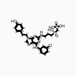 O=P(O)(O)CP(=O)(O)CCCNc1nc(Nc2cccc(Cl)c2)c2ncn(CCc3ccc(O)cc3)c2n1